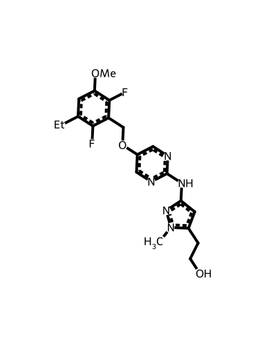 CCc1cc(OC)c(F)c(COc2cnc(Nc3cc(CCO)n(C)n3)nc2)c1F